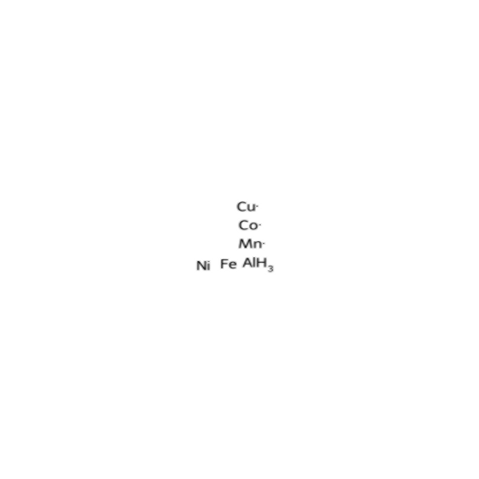 [AlH3].[Co].[Cu].[Fe].[Mn].[Ni]